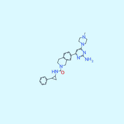 CN1CCN(c2cc(-c3ccc4c(c3)CN(C(=O)NC3CC3c3ccccc3)CC4)nc(N)n2)CC1